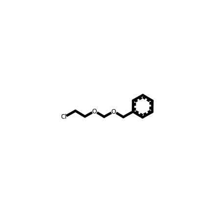 ClCCOCOCc1ccccc1